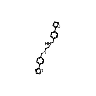 c1coc(-c2ccc(CNCCNCc3ccc(-c4ccco4)cc3)cc2)c1